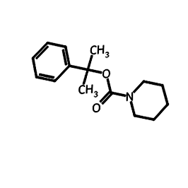 CC(C)(OC(=O)N1CCCCC1)c1ccccc1